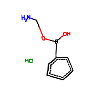 Cl.NCOB(O)c1ccccc1